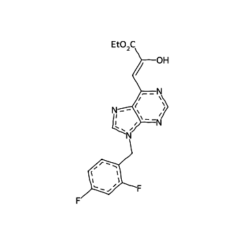 CCOC(=O)/C(O)=C/c1ncnc2c1ncn2Cc1ccc(F)cc1F